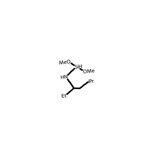 CCC(CC(C)C)N[SiH](OC)OC